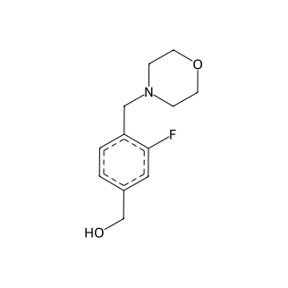 OCc1ccc(CN2CCOCC2)c(F)c1